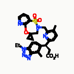 CCn1nnc2c(C)c([C@H](CC(=O)O)c3ccc(C)c(CN4CC5(CC5)Oc5ncccc5S4(=O)=O)n3)ccc21